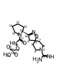 N=C(N)N1CCC2(CC1)CC([C@@H]1CCCCN1C(=O)NOS(=O)(=O)O)=NO2